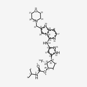 CC(C)NC(=O)O[C@@H]1CC[C@H](c2cc(Nc3nccc4nc(CN5CCOCC5)cn34)n[nH]2)[C@H]1F